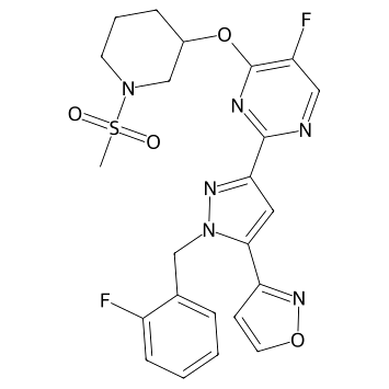 CS(=O)(=O)N1CCCC(Oc2nc(-c3cc(-c4ccon4)n(Cc4ccccc4F)n3)ncc2F)C1